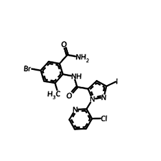 Cc1cc(Br)cc(C(N)=O)c1NC(=O)c1cc(I)nn1-c1ncccc1Cl